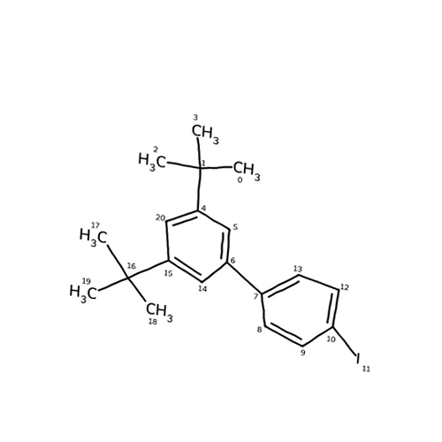 CC(C)(C)c1cc(-c2ccc(I)cc2)cc(C(C)(C)C)c1